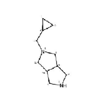 C1CC1CN1CC2CNCC2C1